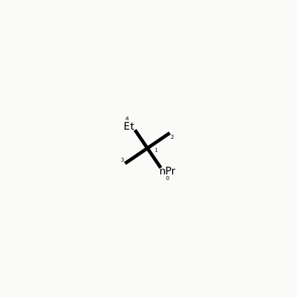 C[CH]CC(C)(C)CC